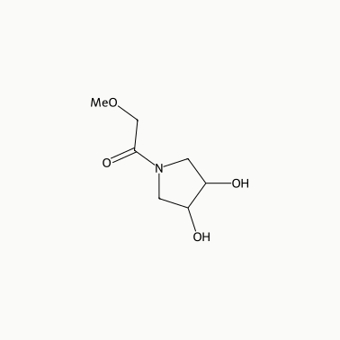 COCC(=O)N1CC(O)C(O)C1